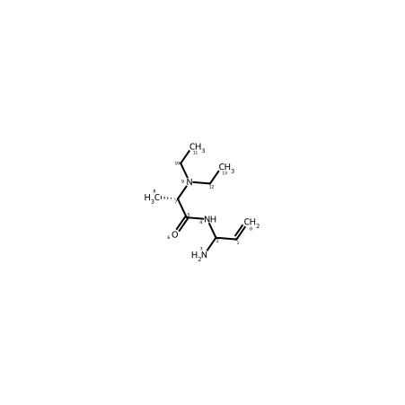 C=CC(N)NC(=O)[C@H](C)N(CC)CC